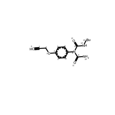 C#CCOc1ccc(N(C(N)=O)C(=O)NC(C)CC)cc1